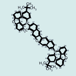 Cc1c(N(c2ccc(C(C)(C)C)cc2)c2cccc3oc4ccccc4c23)ccc2cc3c(cc12)oc1cc2cc(N(C4=CC=C(C(C)(C)C)CC4)c4cccc5oc6ccccc6c45)ccc2cc13